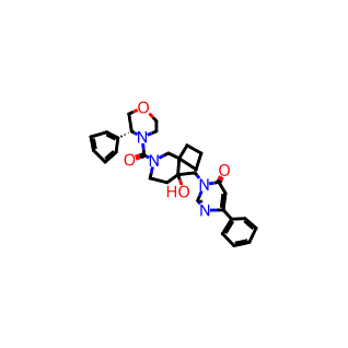 O=C(N1CCC(O)(Cn2cnc(-c3ccccc3)cc2=O)C2(CCC2)C1)N1CCOC[C@H]1c1ccccc1